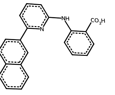 O=C(O)c1ccccc1Nc1cccc(-c2ccc3ccccc3c2)n1